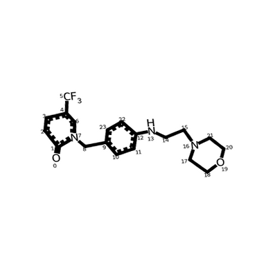 O=c1ccc(C(F)(F)F)cn1Cc1ccc(NCCN2CCOCC2)cc1